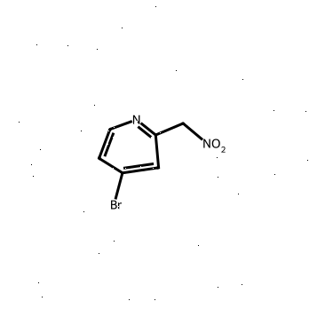 O=[N+]([O-])Cc1cc(Br)ccn1